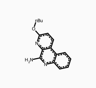 CCCCOc1ccc2c(n1)c(N)nc1ccccc12